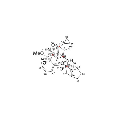 COC(=O)c1ccc(F)c(NC(=O)N2C3CCC2CC(OCc2c(-c4ccccc4C)noc2C2CC2)C3)c1